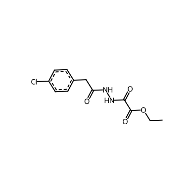 CCOC(=O)C(=O)NNC(=O)Cc1ccc(Cl)cc1